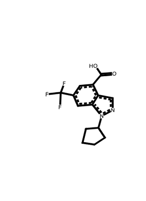 O=C(O)c1cc(C(F)(F)F)cc2c1cnn2C1CCCC1